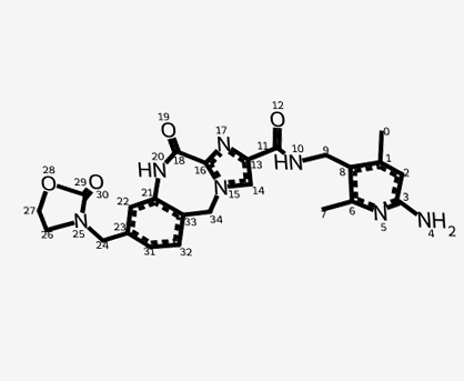 Cc1cc(N)nc(C)c1CNC(=O)c1cn2c(n1)C(=O)Nc1cc(CN3CCOC3=O)ccc1C2